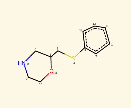 c1ccc(SC[C]2CNCCO2)cc1